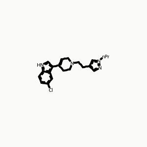 CCCn1cc(CCN2CC=C(c3c[nH]c4ccc(Cl)cc34)CC2)cn1